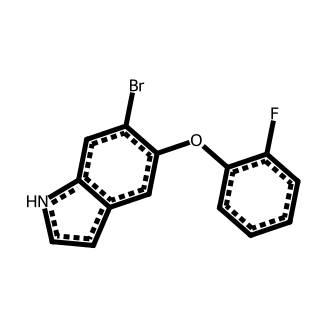 Fc1ccccc1Oc1cc2cc[nH]c2cc1Br